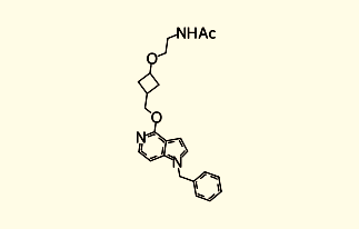 CC(=O)NCCOC1CC(COc2nccc3c2ccn3Cc2ccccc2)C1